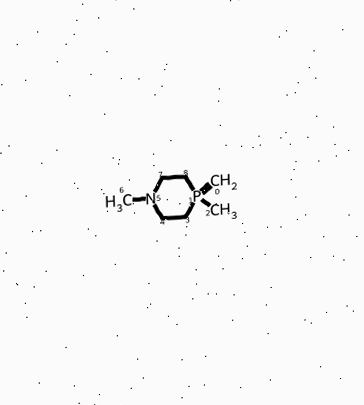 C=P1(C)CCN(C)CC1